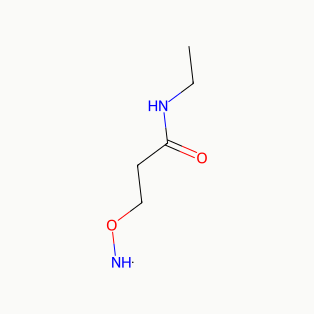 CCNC(=O)CCO[NH]